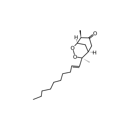 CCCCCCCCC=C[C@@]1(C)OO[C@@H]2C[C@H]1CC(=O)[C@@H]2C